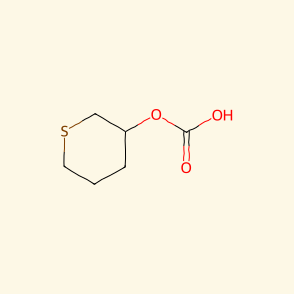 O=C(O)OC1CCCSC1